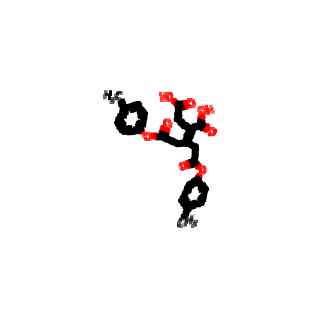 Cc1ccc(OC(=O)CC(CC(=O)Oc2ccc(C)cc2)=C(CC(=O)O)C(=O)O)cc1